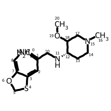 C=C(/C=C1/SCO/C1=C/N)CN[C@H]1CCN(C)CC1OC